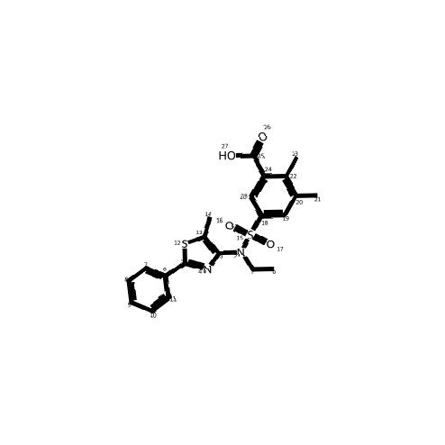 CCN(c1nc(-c2ccccc2)sc1C)S(=O)(=O)c1cc(C)c(C)c(C(=O)O)c1